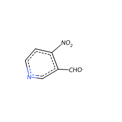 O=[C]c1cnccc1[N+](=O)[O-]